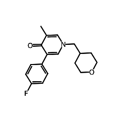 Cc1cn(CC2CCOCC2)cc(-c2ccc(F)cc2)c1=O